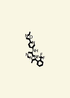 Cc1ncc(-c2ccc(Nc3cncn4c(C)c(-c5ccccc5C(F)(F)F)nc34)cn2)o1